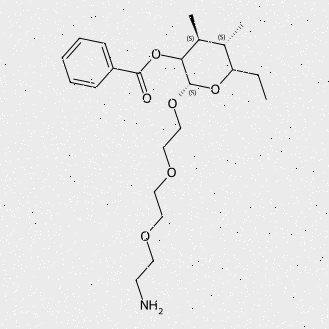 CCC1O[C@H](OCCOCCOCCN)C(OC(=O)c2ccccc2)[C@@H](C)[C@@H]1C